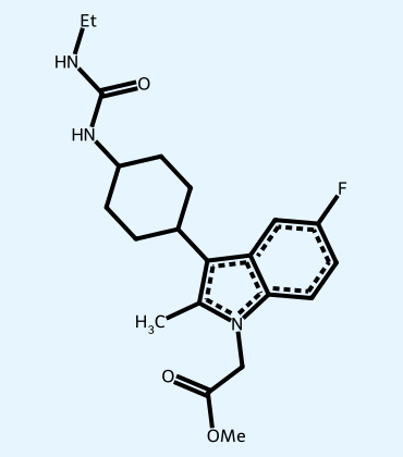 CCNC(=O)NC1CCC(c2c(C)n(CC(=O)OC)c3ccc(F)cc23)CC1